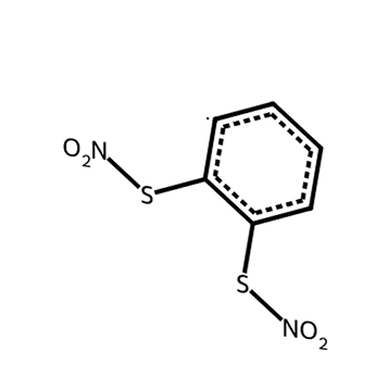 O=[N+]([O-])Sc1[c]cccc1S[N+](=O)[O-]